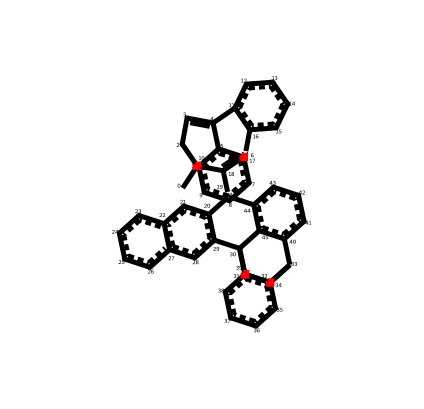 CC1C/C=C(\c2ccccc2)c2ccccc2/N=C\1N1c2cc3ccccc3cc2C23CCC(c4ccccc42)c2cccc1c23